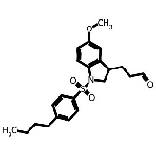 CCCCc1ccc(S(=O)(=O)N2CC(CCC=O)c3cc(OC)ccc32)cc1